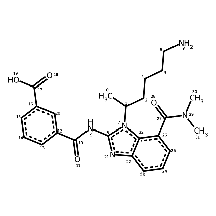 CC(CCCCN)n1c(NC(=O)c2cccc(C(=O)O)c2)nc2cccc(C(=O)N(C)C)c21